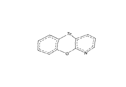 c1ccc2c(c1)Oc1ncccc1[Te]2